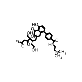 CCC(=O)CC(=O)[C@@](O)(CO)[C@H](CCO)CC1CC(=O)c2c(O)ccc(-c3ccc(C(=O)NCCN(C)C)cc3)c2C1